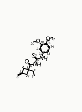 C=C1CC(CC)(C(=O)NC(=S)Nc2ccc(OC)c(OC)c2)C1